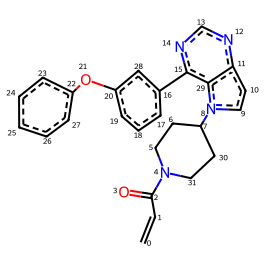 C=CC(=O)N1CCC(n2ccc3ncnc(-c4cccc(Oc5ccccc5)c4)c32)CC1